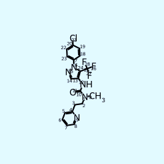 CN(CCc1ccccn1)C(=O)Nc1cnn(-c2ccc(Cl)cc2)c1C(F)(F)F